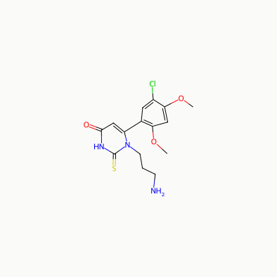 COc1cc(OC)c(-c2cc(=O)[nH]c(=S)n2CCCN)cc1Cl